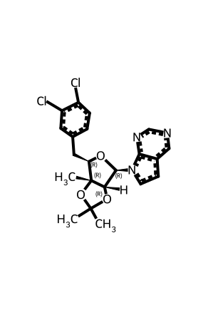 CC1(C)O[C@H]2[C@H](n3ccc4cncnc43)O[C@H](Cc3ccc(Cl)c(Cl)c3)[C@@]2(C)O1